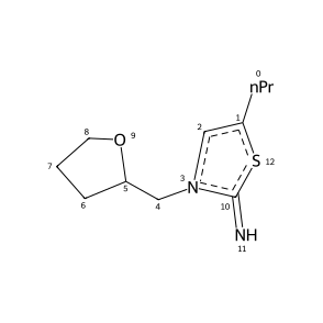 CCCc1cn(CC2CCCO2)c(=N)s1